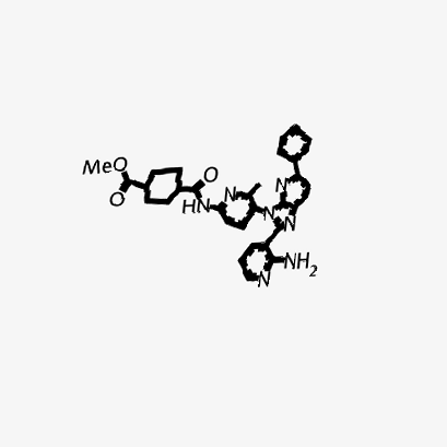 COC(=O)C1CCC(C(=O)Nc2ccc(-n3c(-c4cccnc4N)nc4ccc(-c5ccccc5)nc43)c(C)n2)CC1